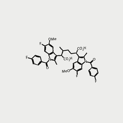 COc1cc2c(C(CCC(C)C(C(=O)O)c3c(C)n(C(=O)c4ccc(F)cc4)c4cc(F)c(OC)cc34)C(=O)O)c(C)n(C(=O)c3ccc(F)cc3)c2cc1F